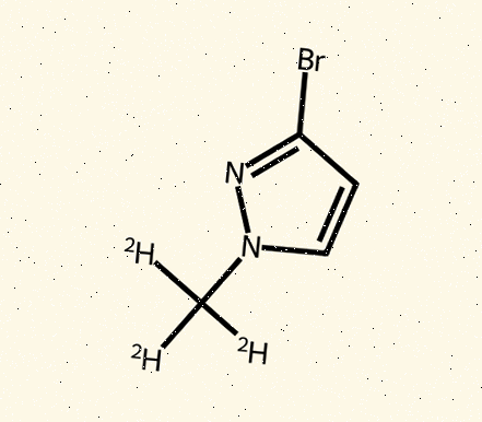 [2H]C([2H])([2H])n1ccc(Br)n1